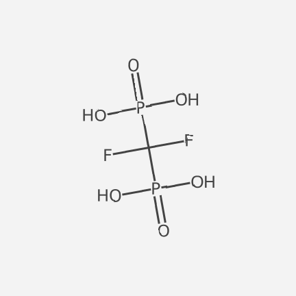 O=P(O)(O)C(F)(F)P(=O)(O)O